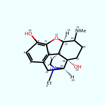 CCN1CC[C@]23c4c5ccc(O)c4O[C@H]2C(NC)CC[C@@]3(O)[C@H]1C5